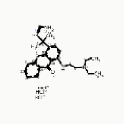 CCN(CC)CCNc1ccc(C(C)(C)/N=C\N)c2sc3ccccc3c(=O)c12.Cl.Cl.Cl